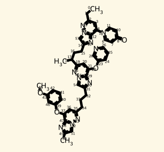 CCc1cc(-n2ccc(=O)cc2)c2nc(CCC(C)c3cc(Oc4cccnc4)c4nc(CCCc5cc(Oc6cccc(OC)c6)c6nc(C)cn6n5)cn4n3)cn2n1